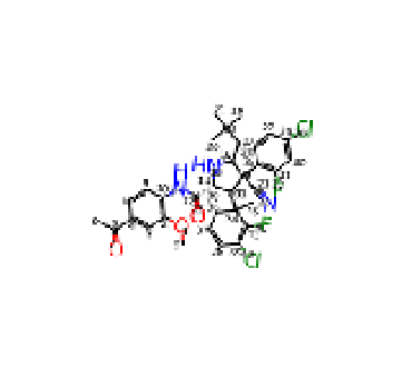 COc1cc(C(C)=O)ccc1NC(=O)[C@@H]1N[C@@H](CC(C)(C)C)[C@](C#N)(c2ccc(Cl)cc2F)[C@H]1C1(C)CC=CC(Cl)=C1F